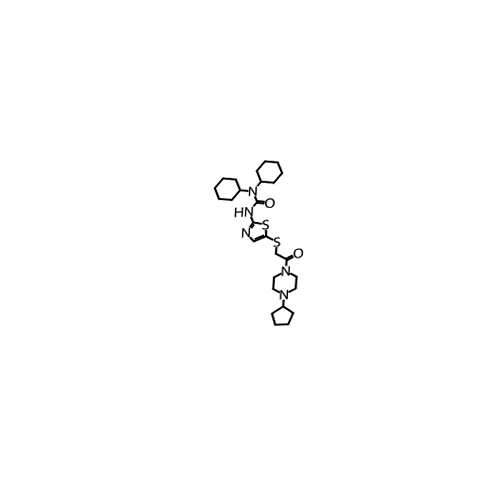 O=C(CSc1cnc(NC(=O)N(C2CCCCC2)C2CCCCC2)s1)N1CCN(C2CCCC2)CC1